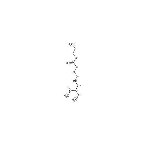 CCCOC(=O)CCCNCC(CC)OC